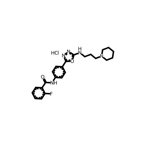 Cl.O=C(Nc1ccc(-c2nnc(NCCCN3CCCCC3)o2)cc1)c1ccccc1F